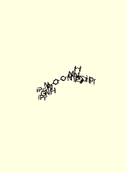 CC(C)CC(=O)N[C@H](c1nc(-c2ccc(-c3ccc(-c4cn(C)c([C@@H](NC(=O)CC(C)C)C(C)C)n4)cc3)cc2)cn1C)C(C)C